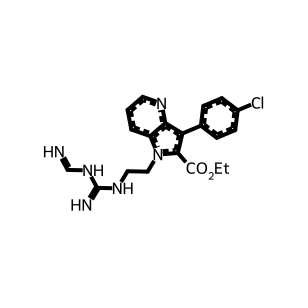 CCOC(=O)c1c(-c2ccc(Cl)cc2)c2ncccc2n1CCNC(=N)NC=N